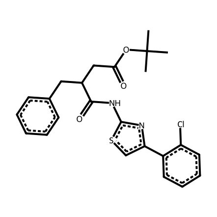 CC(C)(C)OC(=O)CC(Cc1ccccc1)C(=O)Nc1nc(-c2ccccc2Cl)cs1